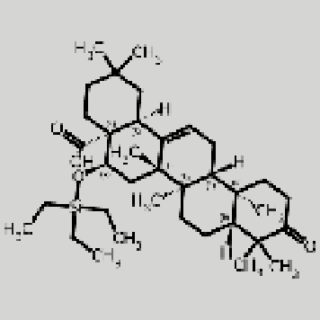 CC[Si](CC)(CC)O[C@@H]1C[C@]2(C)C(=CC[C@@H]3[C@@]4(C)CCC(=O)C(C)(C)[C@@H]4CC[C@]32C)[C@@H]2CC(C)(C)CC[C@]12C(=O)O